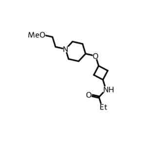 CCC(=O)NC1CC(OC2CCN(CCOC)CC2)C1